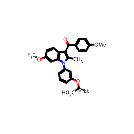 CC[C@H](Oc1cccc(-n2c(C)c(C(=O)c3ccc(OC)cc3)c3ccc(OC(F)(F)F)cc32)c1)C(=O)O